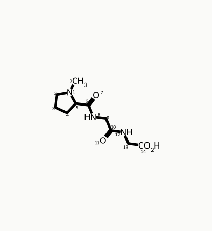 CN1CCCC1C(=O)NCC(=O)NCC(=O)O